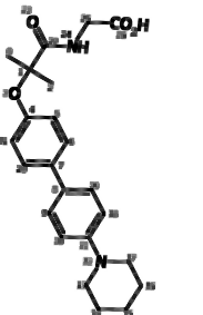 CC(C)(Oc1ccc(-c2ccc(N3CCCCC3)cc2)cc1)C(=O)NCC(=O)O